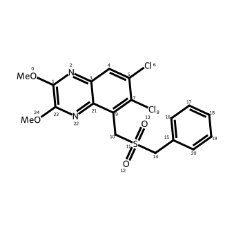 COc1nc2cc(Cl)c(Cl)c(CS(=O)(=O)Cc3ccccc3)c2nc1OC